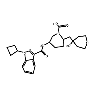 O=C(NC1CCC(CC2(O)CCOCC2)N(C(=O)O)C1)c1nn(C2CCC2)c2ccccc12